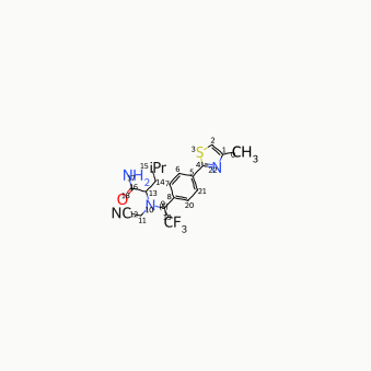 Cc1csc(-c2ccc([C@H](N(CC#N)C(CC(C)C)C(N)=O)C(F)(F)F)cc2)n1